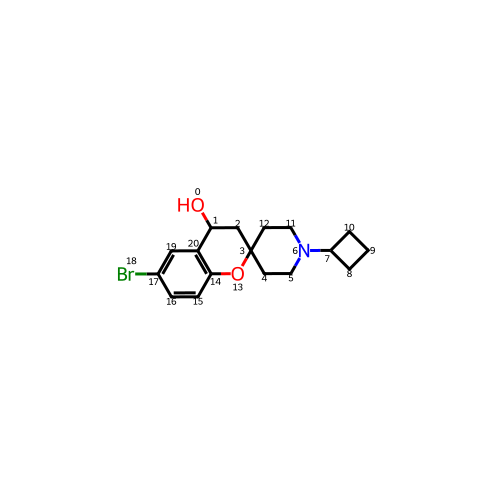 OC1CC2(CCN(C3CCC3)CC2)Oc2ccc(Br)cc21